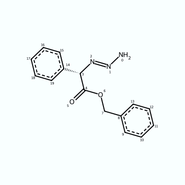 NN=N[C@H](C(=O)OCc1ccccc1)c1ccccc1